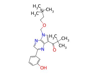 CC(C)(C)C(=O)c1cn(COCC[Si](C)(C)C)c2ncc(-c3cccc(O)c3)nc12